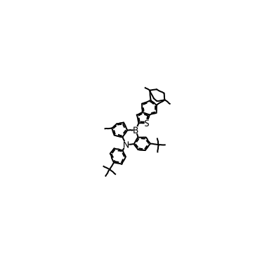 Cc1ccc2c(c1)N(c1ccc(C(C)(C)C)cc1)c1ccc(C(C)(C)C)cc1B2c1cc2cc3c(cc2s1)C1(C)CCC3(C)CC1